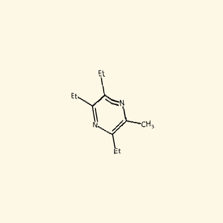 CCc1nc(CC)c(CC)nc1C